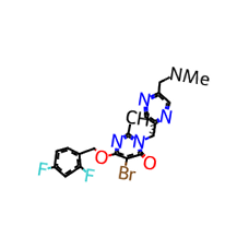 CNCc1cnc(Cn2c(C)nc(OCc3ccc(F)cc3F)c(Br)c2=O)cn1